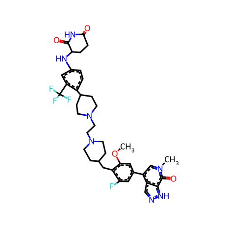 COc1cc(-c2cn(C)c(=O)c3[nH]ncc23)cc(F)c1CC1CCN(CCN2CCC(c3ccc(NC4CCC(=O)NC4=O)cc3C(F)(F)F)CC2)CC1